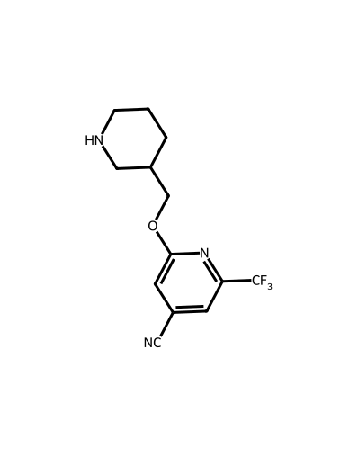 N#Cc1cc(OCC2CCCNC2)nc(C(F)(F)F)c1